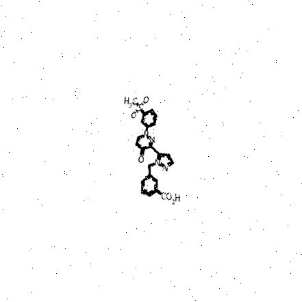 CS(=O)(=O)c1cccc(-n2ccc(=O)c(-c3ccnn3Cc3cccc(C(=O)O)c3)n2)c1